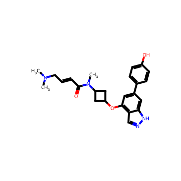 CN(C)C/C=C/C(=O)N(C)C1CC(Oc2cc(-c3ccc(O)cc3)cc3[nH]ncc23)C1